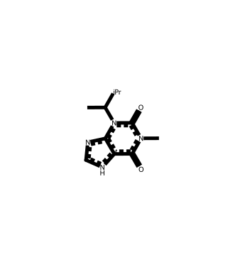 CC(C)C(C)n1c(=O)n(C)c(=O)c2[nH]cnc21